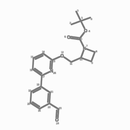 CC(C)(C)OC(=O)N1CCC1COc1cccc(-c2cccc(C=O)c2)n1